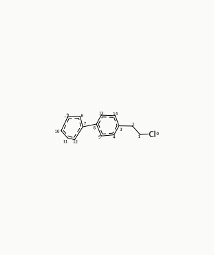 ClCCc1ccc(-c2c[c]ccc2)cc1